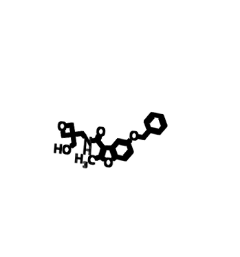 Cc1oc2ccc(OCc3ccccc3)cc2c1C(=O)NCC1(CO)COC1